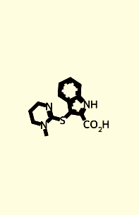 CN1CCCN=C1Sc1c(C(=O)O)[nH]c2ccccc12